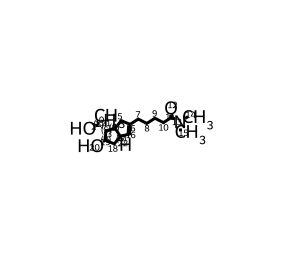 C[C@H](O)[C@@H]1[C@H]2CC(CCCCC(=O)N(C)C)=C[C@H]2C[C@H]1O